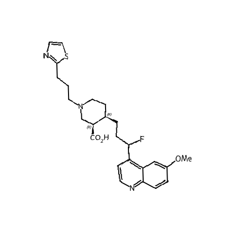 COc1ccc2nccc(C(F)CC[C@@H]3CCN(CCCc4nccs4)C[C@@H]3C(=O)O)c2c1